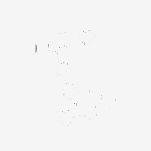 Cc1cccnc1-c1ccc2c3ccccc3n(-c3ccc(-c4ccc(-n5c6ccccc6c6ccc(C7=NC=CCC7C)cc65)cc4)cc3)c2c1